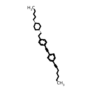 CCCCCC#Cc1ccc(C#Cc2ccc(CC[C@H]3CC[C@H](CCCCC)CC3)cc2)cc1